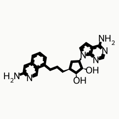 Nc1cc2cccc(CCC[C@H]3C[C@@H](n4ccc5c(N)ncnc54)[C@H](O)[C@@H]3O)c2cn1